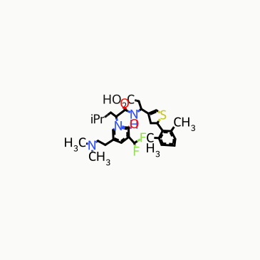 Cc1cccc(C)c1C1CC(C(CC(=O)O)NC(=O)C(CC(C)C)n2cc(CCN(C)C)cc(C(F)F)c2=O)=CS1